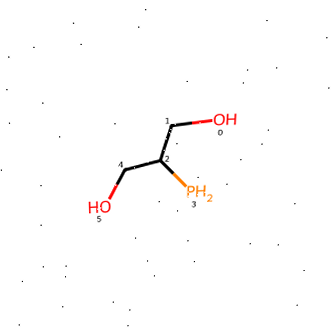 OCC(P)CO